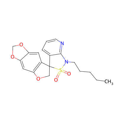 CCCCCN1c2ncccc2C2(COc3cc4c(cc32)OCO4)S1(=O)=O